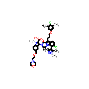 Cc1cc(OCCCc2c3n(c4c(-c5c(C)nn(C)c5C)c(Cl)ccc24)[C@H](C)CN(c2c(C(=O)O)n(C)c4ccc(COCCN5CCOCC5)cc24)C3=O)cc(C)c1Cl